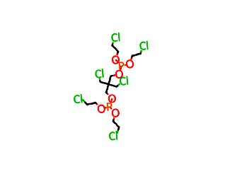 ClCCOP(OCCCl)OCC(CCl)(CCl)COP(OCCCl)OCCCl